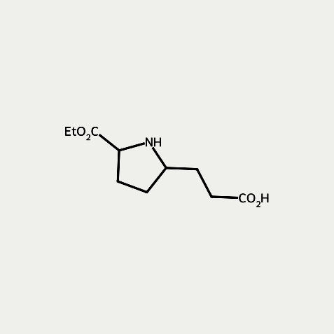 CCOC(=O)C1CCC(CCC(=O)O)N1